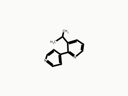 CC(C)c1cccnc1-c1ccncc1